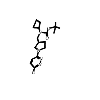 CC(C)(C)OC(=O)N(CC1CCN(c2ccc(Cl)nn2)C1)C1CCC1